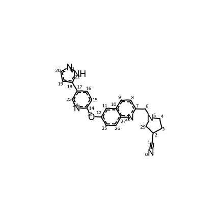 N#CC1CCN(Cc2ccc3cc(Oc4ccc(-c5ccn[nH]5)cn4)ccc3n2)C1